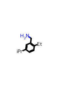 CCc1ccc(C(C)C)cc1CN